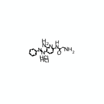 Cl.Cl.NCC(=O)Nc1ccc(N=Nc2ccccc2)c(N)n1